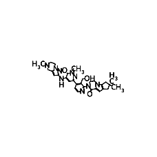 CN1CCn2nc(Nc3cc(-c4ccnc(N5CCn6c(cc7c6CC(C)(C)C7)C5=O)c4CO)nn(C)c3=O)cc2C1